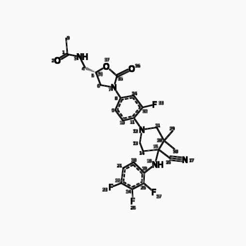 CC(=O)NC[C@H]1CN(c2ccc(N3CCC(C#N)(Nc4ccc(F)c(F)c4F)C(C)(C)C3)c(F)c2)C(=O)O1